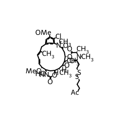 COc1cc2cc(c1Cl)N(C)C(=O)C[C@H](OC(=O)[C@H](C)N(C)C(=O)CCSSCCCC(C)=O)C1(C)O[C@H]1[C@H](C)[C@@H]1C[C@@](O)(NC(=O)O1)[C@H](OC)/C=C/C=C(\C)C2